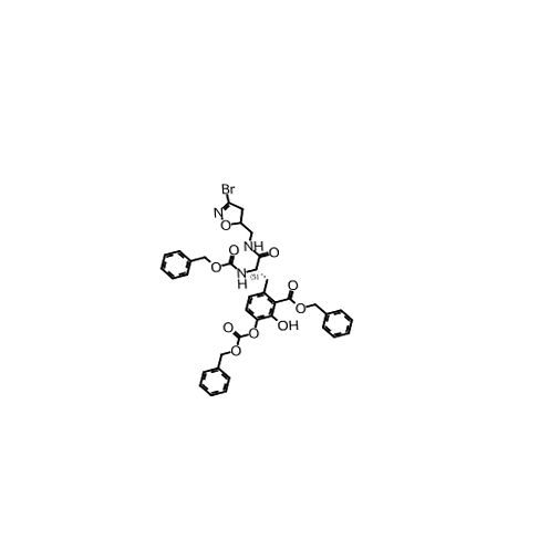 O=C(N[C@@H](Cc1ccc(OC(=O)OCc2ccccc2)c(O)c1C(=O)OCc1ccccc1)C(=O)NCC1CC(Br)=NO1)OCc1ccccc1